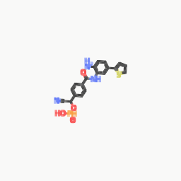 N#CC(O[PH](=O)O)c1ccc(C(=O)Nc2cc(-c3cccs3)ccc2N)cc1